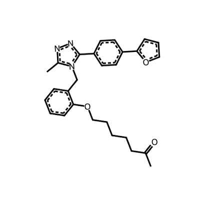 CC(=O)CCCCCOc1ccccc1Cn1c(C)nnc1-c1ccc(-c2ccco2)cc1